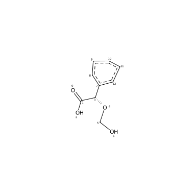 O=C(O)[C@@H](OCO)c1ccccc1